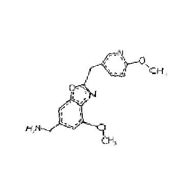 COc1ccc(Cc2nc3c(OC)cc(CN)cc3o2)cn1